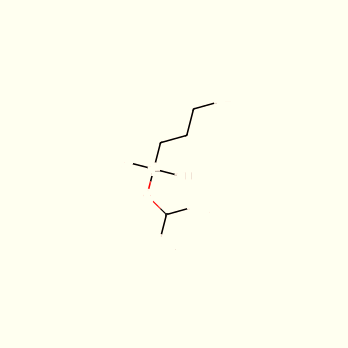 [CH2]C(C)O[Si](C)(C)CCCC